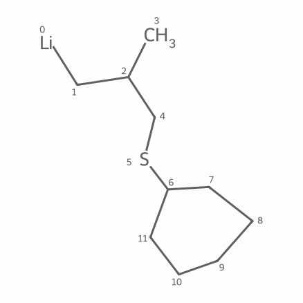 [Li][CH2]C(C)CSC1CCCCC1